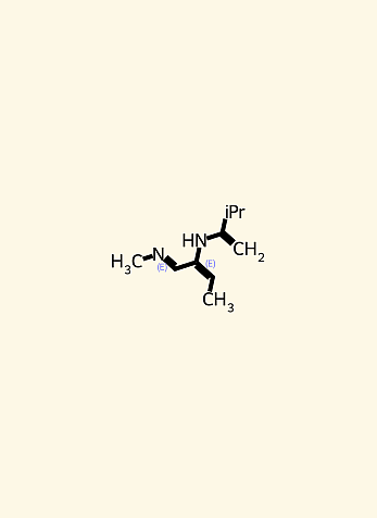 C=C(NC(/C=N/C)=C/C)C(C)C